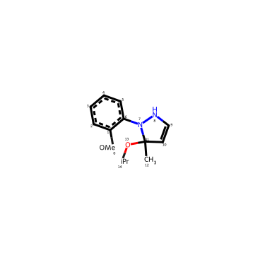 COc1ccccc1N1NC=CC1(C)OC(C)C